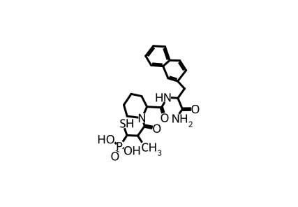 CC(C(=O)N1CCCCC1C(=O)NC(Cc1ccc2ccccc2c1)C(N)=O)C(S)P(=O)(O)O